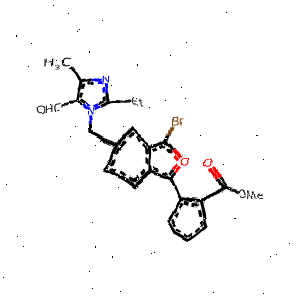 CCc1nc(C)c(C=O)n1Cc1ccc2c(-c3ccccc3C(=O)OC)oc(Br)c2c1